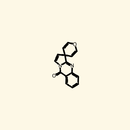 O=c1c2ccccc2nc2n1C=CC21C=COC=C1